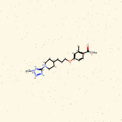 COC(=O)c1ccc(OCCCC2CCN(c3nnn(C(C)C)n3)CC2)cc1C